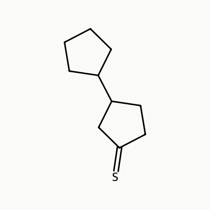 S=C1CCC(C2CCCC2)C1